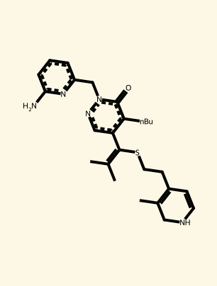 CCCCc1c(C(SCCC2=C(C)CNC=C2)=C(C)C)cnn(Cc2cccc(N)n2)c1=O